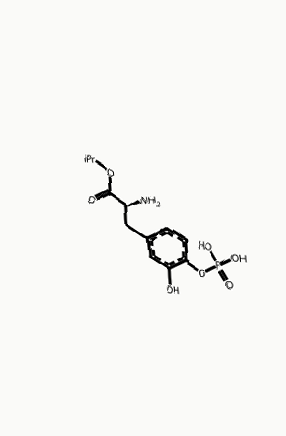 CC(C)OC(=O)[C@@H](N)Cc1ccc(OP(=O)(O)O)c(O)c1